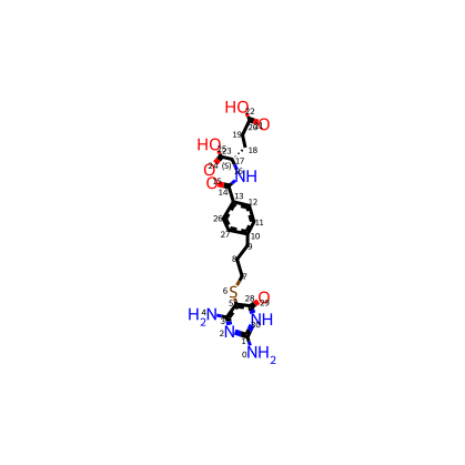 Nc1nc(N)c(SCCCc2ccc(C(=O)N[C@@H](CCC(=O)O)C(=O)O)cc2)c(=O)[nH]1